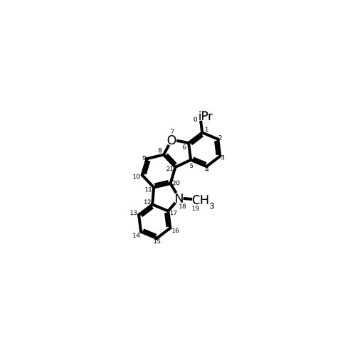 CC(C)c1cccc2c1oc1ccc3c4ccccc4n(C)c3c12